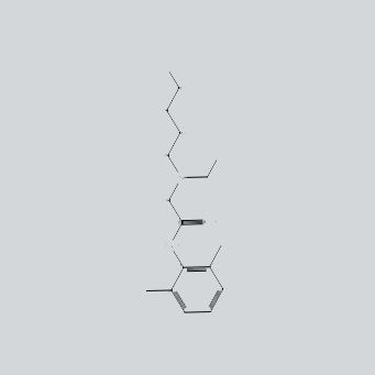 Cc1cccc(C)c1NC(=O)CN(CO)CCCCO